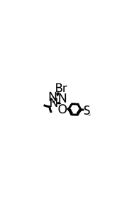 CSC1=CC=C(Oc2nc(Br)nn2C(C)C)CC1